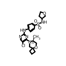 C[C@H]1COC2(CCC2)CN1c1nc(Nc2ccc(S(=O)(=O)NC3CCOC3)cc2)ncc1Cl